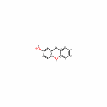 Oc1[c]c2c(cc1)Oc1ccccc1C2